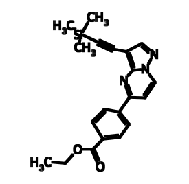 CCOC(=O)c1ccc(-c2ccn3ncc(C#C[Si](C)(C)C)c3n2)cc1